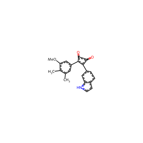 COc1cc(-c2c(-c3ccc4cc[nH]c4c3)c(=O)c2=O)cc(C)c1C